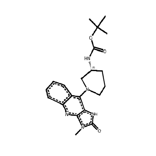 Cn1c(=O)[nH]c2c(N3CCC[C@@H](NC(=O)OC(C)(C)C)C3)c3ccccc3nc21